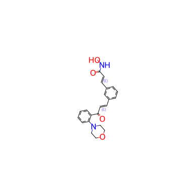 O=C(/C=C/c1cccc(/C=C/C(=O)c2ccccc2N2CCOCC2)c1)NO